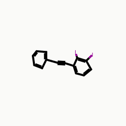 Ic1cccc(C#Cc2ccccc2)c1I